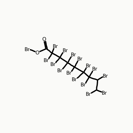 O=C(OBr)C(Br)(Br)C(Br)(Br)C(Br)(Br)C(Br)(Br)C(Br)(Br)C(Br)(Br)C(Br)C(Br)Br